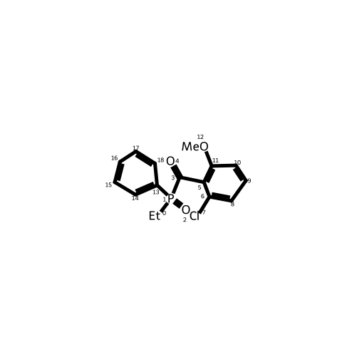 CCP(=O)(C(=O)c1c(Cl)cccc1OC)c1ccccc1